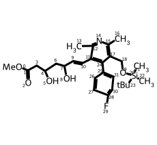 COC(=O)CC(O)CC(O)C=Cc1c(C)nc(C)c(CO[Si](C)(C)C(C)(C)C)c1-c1ccc(F)cc1